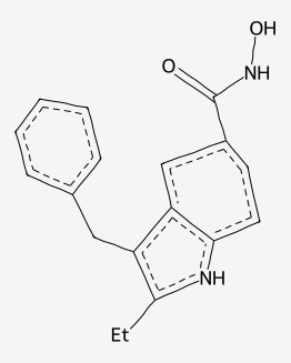 CCc1[nH]c2ccc(C(=O)NO)cc2c1Cc1ccccc1